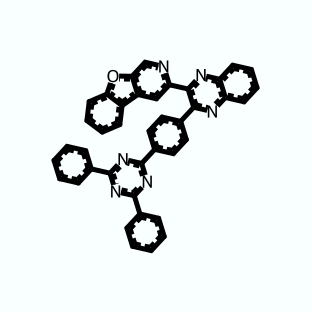 c1ccc(-c2nc(-c3ccccc3)nc(-c3ccc(-c4nc5ccccc5nc4-c4cc5c(cn4)oc4ccccc45)cc3)n2)cc1